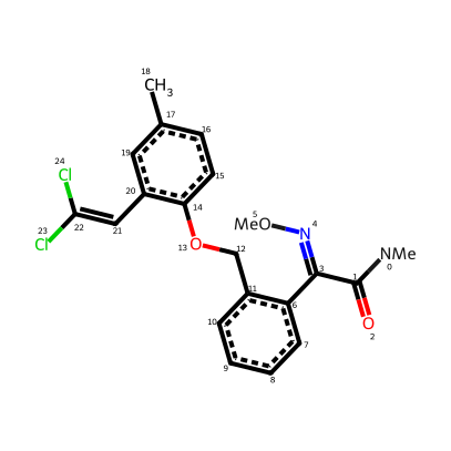 CNC(=O)/C(=N/OC)c1ccccc1COc1ccc(C)cc1C=C(Cl)Cl